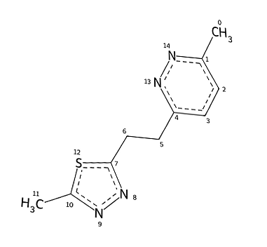 Cc1ccc(CCc2nnc(C)s2)nn1